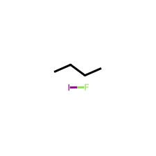 CCCC.FI